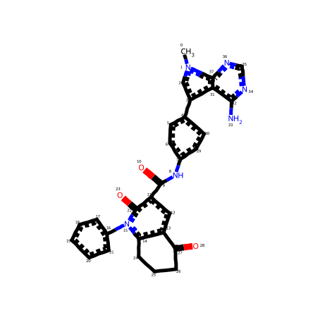 Cn1cc(-c2ccc(NC(=O)c3cc4c(n(-c5ccccc5)c3=O)CCCC4=O)cc2)c2c(N)ncnc21